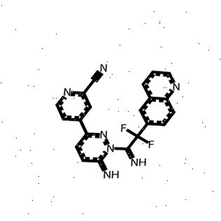 N#Cc1cc(-c2ccc(=N)n(C(=N)C(F)(F)c3ccc4ncccc4c3)n2)ccn1